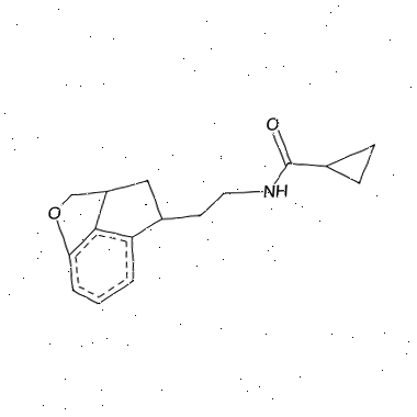 O=C(NCCC1CC2COc3cccc1c32)C1CC1